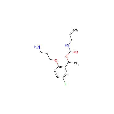 C=CCNC(=O)OC(C)c1cc(F)ccc1OCCCN